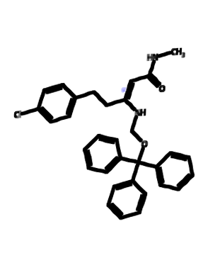 CNC(=O)/C=C(/CCc1ccc(Cl)cc1)NCOC(c1ccccc1)(c1ccccc1)c1ccccc1